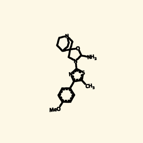 COc1ccc(-c2nc(N3CC4(CN5CCC4CC5)OC3N)sc2C)cc1